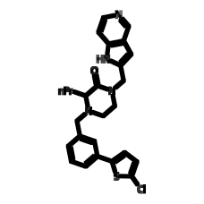 CCCC1C(=O)N(Cc2cc3cnccc3[nH]2)CCN1Cc1cccc(-c2ccc(Cl)s2)c1